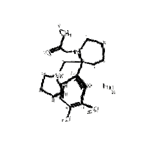 CC(=O)N1CCCCC1(CN1CCCC1)c1ccc(Cl)c(Cl)c1.Cl